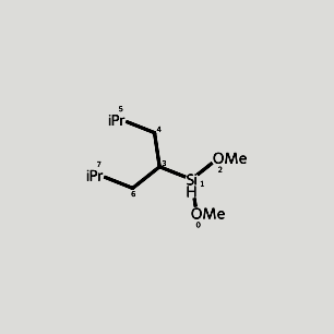 CO[SiH](OC)C(CC(C)C)CC(C)C